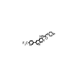 CN1CCN(CC(=O)Nc2cc3cc(-c4ccc(C(F)(F)F)nc4)cnc3cn2)CC1